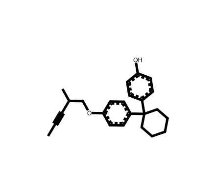 CC#CC(C)COc1ccc(C2(c3ccc(O)cc3)CCCCC2)cc1